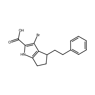 O=C(O)c1[nH]c2c(c1Br)C(CCc1ccccc1)CC2